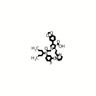 CCCC(CCC)N(C(=O)CN1CC(c2ccc3c(c2)OCO3)[C@H](C(=O)O)[C@H]1CCc1ncccn1)c1ccc(F)c(C)c1